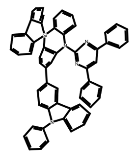 c1ccc(-c2cc(-c3ccccc3)nc(N3c4ccccc4[Si]4(c5ccccc5-c5ccccc54)c4ccc(-c5ccc6c(c5)c5ccccc5n6-c5ccccc5)cc43)n2)cc1